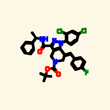 C[C@@H](NC(=O)c1nn(-c2ccc(Cl)cc2Cl)c2c1CN(C(=O)OC(C)(C)C)C/C2=C\c1ccc(F)cc1)c1ccccc1